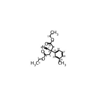 CCOC(=O)CC(C#N)(CC(=O)OCC)c1cccc(C)c1